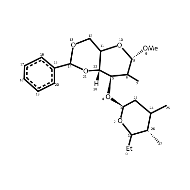 CCC1O[C@@H](O[C@@H]2C(C)[C@@H](OC)OC3COC(c4ccccc4)O[C@H]32)CC(C)[C@@H]1C